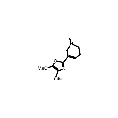 CCCCc1nc(C2=CCCN(C)C2)oc1OC